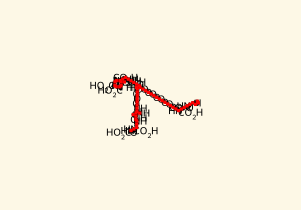 N=N/C(=C\NCCOCCOCCOCCC(=O)N[C@@H](CCCCNC(=S)Nc1ccc(CC2CN(CC(=O)O)CCN(CC(=O)O)CCN(CC(=O)O)CCN2CC(=O)O)cc1)C(=O)NCCOCCOCCOCCOCCOCCOCCOCCOCCC(=O)N[C@@H](CCCCNC(=O)CCCc1ccc(I)cc1)C(=O)O)c1cccc(NC(=O)NCCCC[C@H](NC(=O)NCC(=O)O)C(=O)O)c1